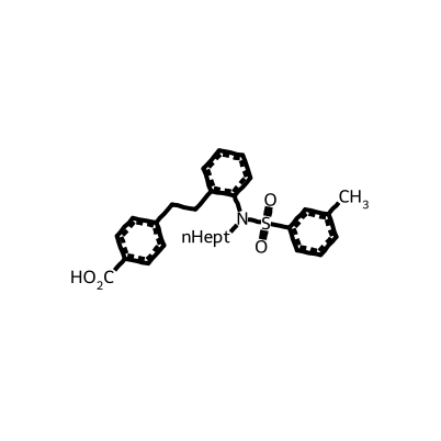 CCCCCCCN(c1ccccc1CCc1ccc(C(=O)O)cc1)S(=O)(=O)c1cccc(C)c1